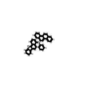 c1ccc(N(c2cc3c4ccccc4ccc3c3ccccc23)c2cccc3c2ccc2c4ccccc4sc32)cc1